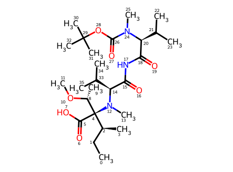 CC[C@H](C)[C@](C(=O)O)([C@@H](C)OC)N(C)[C@H](C(=O)NC(=O)[C@H](C(C)C)N(C)C(=O)OC(C)(C)C)C(C)C